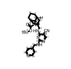 CC(C)(C)OC(=O)N[C@@H]1[C@@H]2CCC[C@H]1CC(CNc1nc(NCc3ccncc3)ncc1C#N)C2